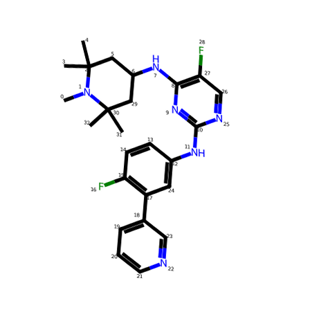 CN1C(C)(C)CC(Nc2nc(Nc3ccc(F)c(-c4cccnc4)c3)ncc2F)CC1(C)C